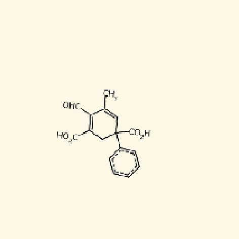 CC1=CC(C(=O)O)(c2ccccc2)CC(C(=O)O)=C1C=O